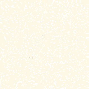 O=C1CCCC(Cl)C1(Cl)Cl